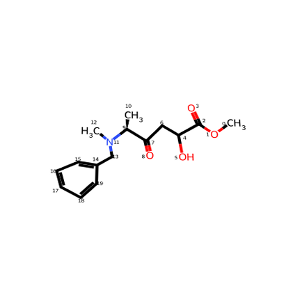 COC(=O)C(O)CC(=O)[C@H](C)N(C)Cc1ccccc1